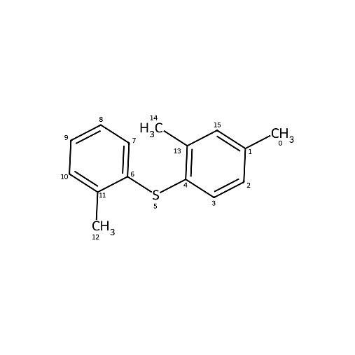 Cc1ccc(Sc2ccccc2C)c(C)c1